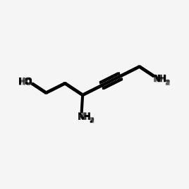 NCC#CC(N)CCO